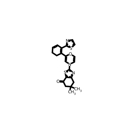 CC1(C)CC(=O)c2sc(N3C=COC(C4=C(c5nccs5)C=CCC4)=C3)nc2C1